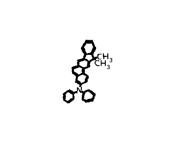 CC1(C)c2ccccc2-c2cc3ccc4cc(N(c5ccccc5)c5ccccc5)ccc4c3cc21